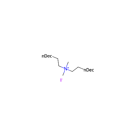 CCCCCCCCCCCC[N+](C)(C)CCCCCCCCCCCC.[I-]